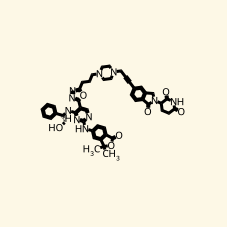 CC1(C)OC(=O)c2ccc(Nc3ncc(-c4nnc(CCCN5CCN(CC#Cc6ccc7c(c6)CN(C6CCC(=O)NC6=O)C7=O)CC5)o4)c(N[C@H](CO)c4ccccc4)n3)cc21